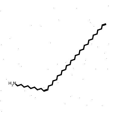 C=CCCCCCCCCCCCCCCCCCCCCCCCC/C=C\CCCCCCCCN